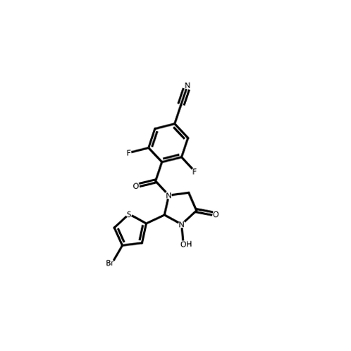 N#Cc1cc(F)c(C(=O)N2CC(=O)N(O)C2c2cc(Br)cs2)c(F)c1